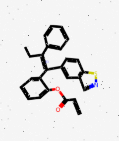 C=CC(=O)Oc1ccccc1/C(=C(\CC)c1ccccc1)c1ccc2sncc2c1